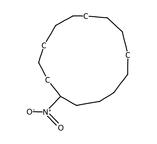 O=[N+]([O-])C1CCCCCCCCCCCCC1